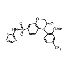 COc1cc(C(F)(F)F)ccc1N1C(=O)COc2cc(S(=O)(=O)Nc3ncns3)ccc21